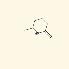 [CH2]C1CCCC(=O)N1